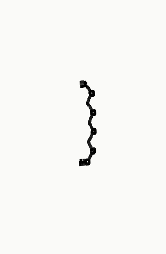 CCOCOCOCOO